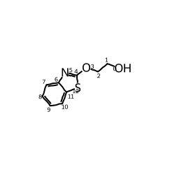 OCCOc1nc2ccccc2s1